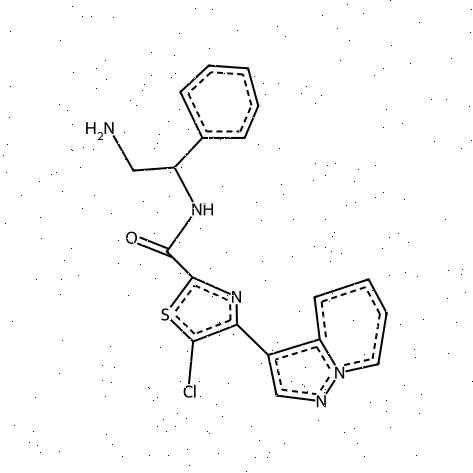 NCC(NC(=O)c1nc(-c2cnn3ccccc23)c(Cl)s1)c1ccccc1